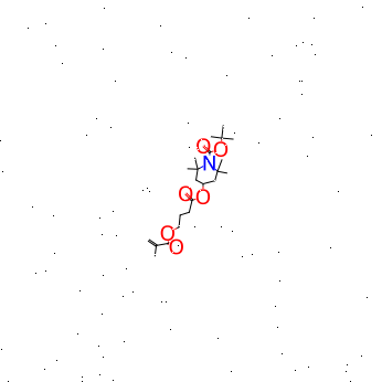 C=C(C)C(=O)OCCCC(=O)OC1CC(C)(C)N(C(=O)OC(C)(C)C)C(C)(C)C1